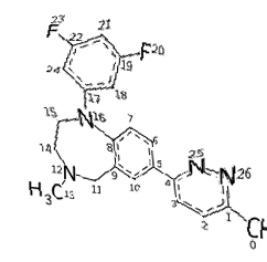 Cc1ccc(-c2ccc3c(c2)CN(C)CCN3c2cc(F)cc(F)c2)nn1